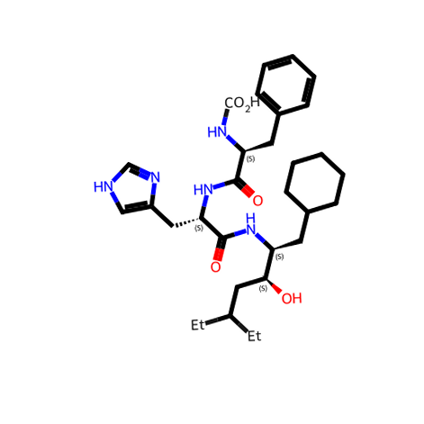 CCC(CC)C[C@H](O)[C@H](CC1CCCCC1)NC(=O)[C@H](Cc1c[nH]cn1)NC(=O)[C@H](Cc1ccccc1)NC(=O)O